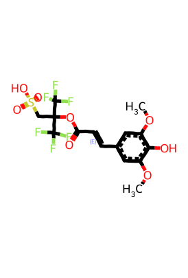 COc1cc(/C=C/C(=O)OC(CS(=O)(=O)O)(C(F)(F)F)C(F)(F)F)cc(OC)c1O